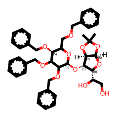 CC1(C)O[C@H]2O[C@H](C(O)CO)[C@H](O[C@@H]3OC(COCc4ccccc4)[C@H](OCc4ccccc4)C(OCc4ccccc4)C3OCc3ccccc3)[C@H]2O1